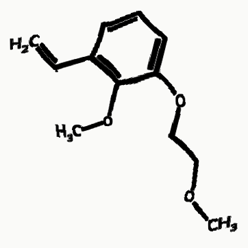 C=[C]c1cccc(OCCOC)c1OC